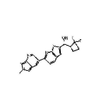 Cn1cc2cc(-c3ccc4cc([C@H](O)[C@@H]5CCC5(F)F)sc4n3)cnc2n1